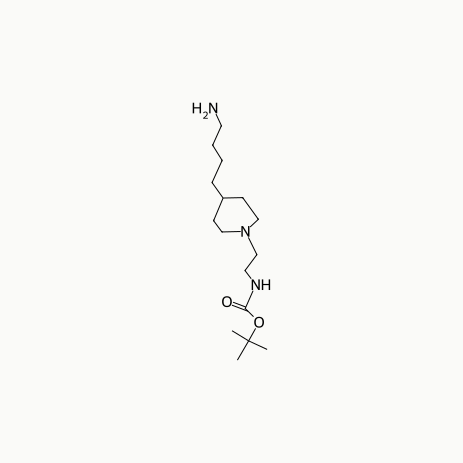 CC(C)(C)OC(=O)NCCN1CCC(CCCCN)CC1